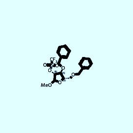 COC1O[C@@H](COCc2ccccc2)[C@H](OCc2ccccc2)[C@H]1OS(=O)(=O)C(F)(F)F